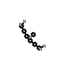 N#Cc1cc(-c2ccc(-c3ccc4c5ccc(-c6ccc(-c7ccnc(C#N)c7)cc6)cc5n(-c5ccccc5)c4c3)cc2)ccn1